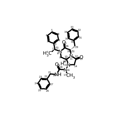 C[C@@H](c1ccccc1)N1C[C@H]2N(C(=O)CN2N(C)C(=O)NCc2ccccc2)[C@@H](Cc2ccccc2)C1=O